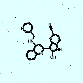 N#Cc1ccc2[nH]c(O)c(-c3cc(NCc4cccnc4)c4ccccc4n3)c2c1